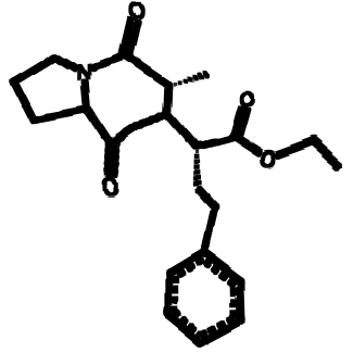 CCOC(=O)[C@H](CCc1ccccc1)C1C(=O)C2CCCN2C(=O)[C@@H]1C